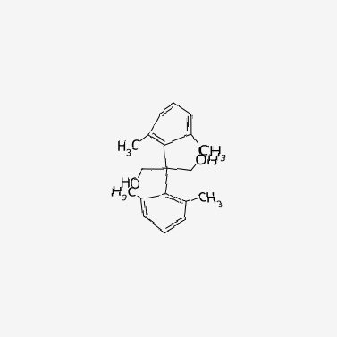 Cc1cccc(C)c1C(CO)(CO)c1c(C)cccc1C